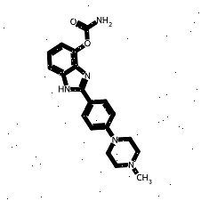 CN1CCN(c2ccc(-c3nc4c(OC(N)=O)cccc4[nH]3)cc2)CC1